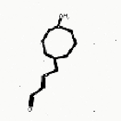 NC1CCCC(C/C=C/C=O)CCC1